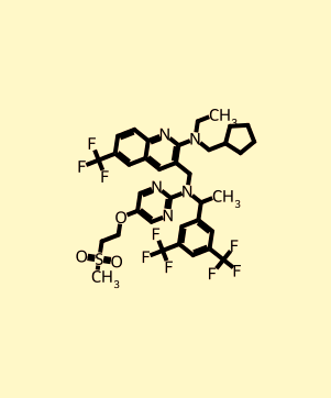 CCN(CC1CCCC1)c1nc2ccc(C(F)(F)F)cc2cc1CN(c1ncc(OCCS(C)(=O)=O)cn1)C(C)c1cc(C(F)(F)F)cc(C(F)(F)F)c1